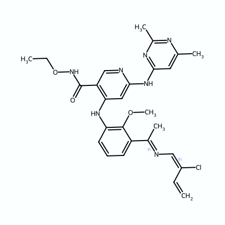 C=C/C(Cl)=C\N=C(/C)c1cccc(Nc2cc(Nc3cc(C)nc(C)n3)ncc2C(=O)NOCC)c1OC